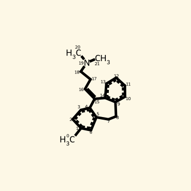 Cc1ccc2c(c1)CCc1ccccc1/C2=C\CCN(C)C